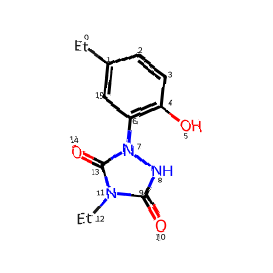 CCc1ccc(O)c(-n2[nH]c(=O)n(CC)c2=O)c1